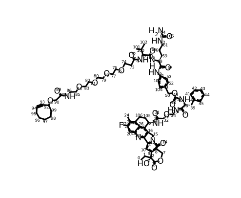 CC[C@@]1(O)C(=O)OCc2c1cc1n(c2=O)Cc2c-1nc1cc(F)c(C)c3c1c2[C@@H](NC(=O)COCNC(=O)[C@@H](Cc1ccccc1)NC(=O)OCc1ccc(NC(=O)[C@H](CCCNC(N)=O)NC(=O)[C@@H](NC(=O)CCOCCOCCOCCOCCNC(=O)COC2C#CCCCCC2)C(C)C)cc1)CC3